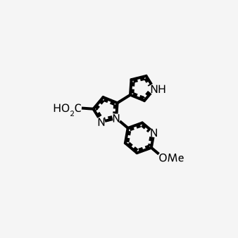 COc1ccc(-n2nc(C(=O)O)cc2-c2cc[nH]c2)cn1